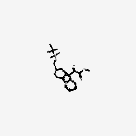 COC(=O)C(=O)c1c2c(n3ccccc13)CCC(CO[Si](C)(C)C(C)(C)C)C2